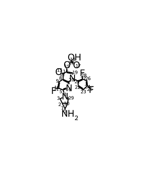 NC1C2CN(c3nc4c(cc3F)c(=O)c(OC(=O)O)cn4-c3ccc(F)cc3F)CC12